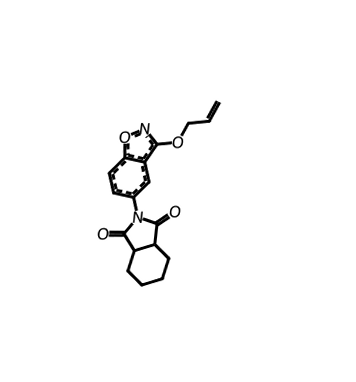 C=CCOc1noc2ccc(N3C(=O)C4CCCCC4C3=O)cc12